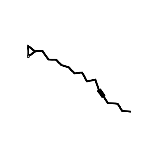 CCCCC#CCCCCCCCCCC1CO1